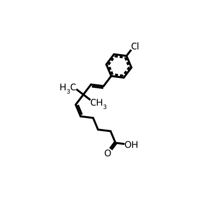 CC(C)(C=Cc1ccc(Cl)cc1)/C=C\CCCC(=O)O